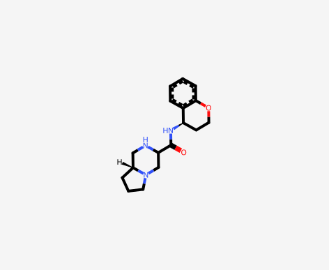 O=C(N[C@@H]1CCOc2ccccc21)C1CN2CCC[C@@H]2CN1